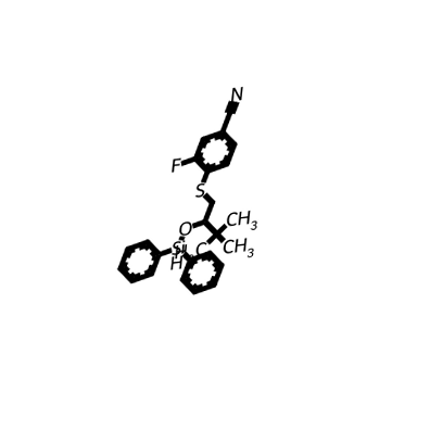 CC(C)(C)C(CSc1ccc(C#N)cc1F)O[SiH](c1ccccc1)c1ccccc1